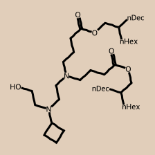 CCCCCCCCCCC(CCCCCC)COC(=O)CCCN(CCCC(=O)OCC(CCCCCC)CCCCCCCCCC)CCN(CCO)C1CCC1